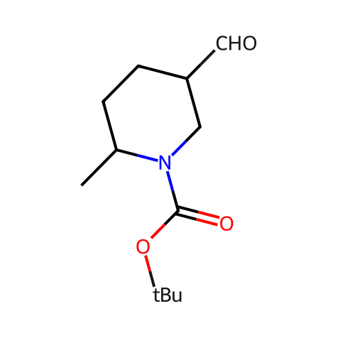 CC1CCC(C=O)CN1C(=O)OC(C)(C)C